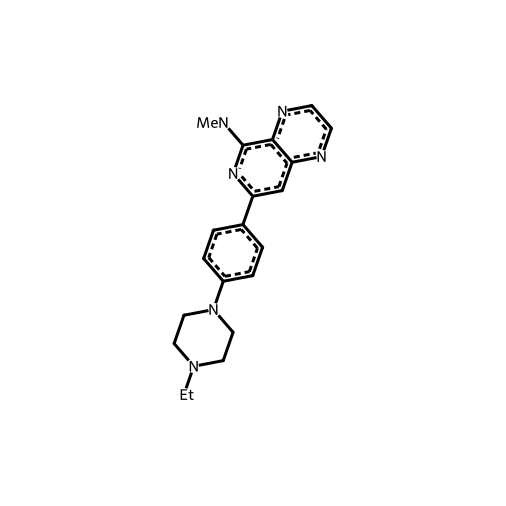 CCN1CCN(c2ccc(-c3cc4nccnc4c(NC)n3)cc2)CC1